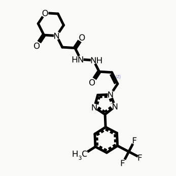 Cc1cc(-c2ncn(/C=C\C(=O)NNC(=O)CN3CCOCC3=O)n2)cc(C(F)(F)F)c1